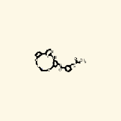 C=CC(=O)NCc1cccc(C(=O)Nc2cc3cc(c2)Nc2nccc(n2)-c2cccc(c2)OCC/C=C/COC3)c1